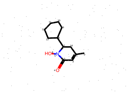 CC1=CC(=O)N(O)C(C2CCCCC2)C1